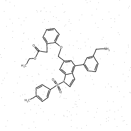 CCOC(=O)Cc1ccccc1OCc1cc(-c2cccc(CN)c2)c2ccn(S(=O)(=O)c3ccc(C)cc3)c2c1